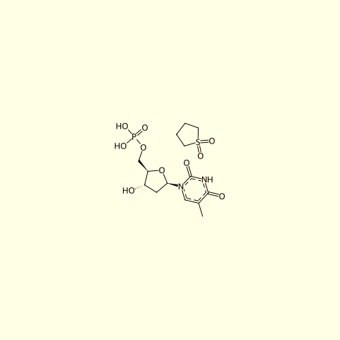 Cc1cn([C@H]2C[C@H](O)[C@@H](COP(=O)(O)O)O2)c(=O)[nH]c1=O.O=S1(=O)CCCC1